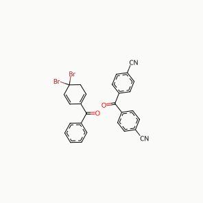 N#Cc1ccc(C(=O)c2ccc(C#N)cc2)cc1.O=C(C1=CCC(Br)(Br)C=C1)c1ccccc1